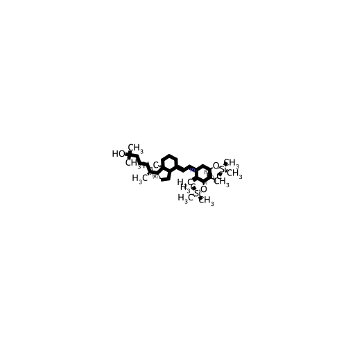 C=C1/C(=C\C=C2CCC[C@@]3(C)C2CC[C@@H]3[C@@H](C)CCCC(C)(C)O)C[C@H](O[Si](C)(C)C)[C@H](C)[C@@H]1O[Si](C)(C)C